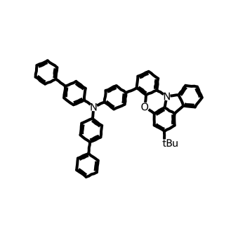 CC(C)(C)c1cc2c3c(c1)c1ccccc1n3-c1cccc(-c3ccc(N(c4ccc(-c5ccccc5)cc4)c4ccc(-c5ccccc5)cc4)cc3)c1O2